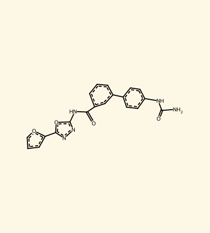 NC(=O)Nc1ccc(-c2cccc(C(=O)Nc3nnc(-c4ccco4)o3)c2)cc1